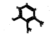 Cc1nccc(Br)c1C(C)C